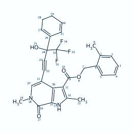 Cc1ccccc1COC(=O)c1c(C)[nH]c2c(=O)n(C)cc(C#CC(O)(C3=CCCC=C3)C(F)(F)F)c12